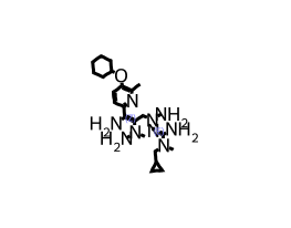 Cc1nc(/C(N)=C(\CN(N)/N=C(\N)N(C)CC2CC2)N(C)N)ccc1OC1CCCCC1